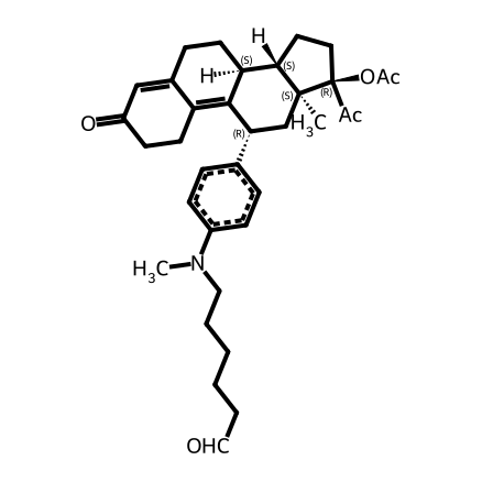 CC(=O)O[C@]1(C(C)=O)CC[C@H]2[C@@H]3CCC4=CC(=O)CCC4=C3[C@@H](c3ccc(N(C)CCCCCC=O)cc3)C[C@@]21C